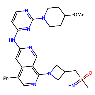 COC1CCN(c2nccc(Nc3cc4c(C(C)C)cnc(N5CC(CS(C)(=N)=O)C5)c4cn3)n2)CC1